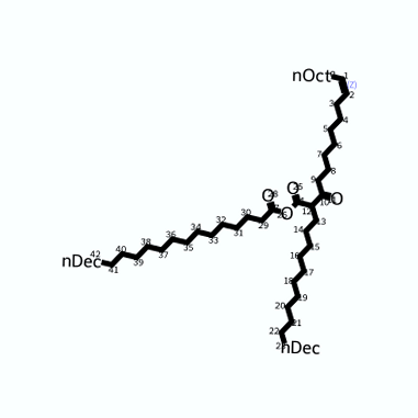 CCCCCCCC/C=C\CCCCCCCC(=O)C(CCCCCCCCCCCCCCCCCCCC)C(=O)OC(=O)CCCCCCCCCCCCCCCCCCCCCCC